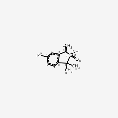 C=C1c2cc(C(C)C)ccc2C(C)(C)S1(=N)=O